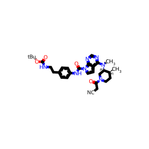 C[C@@H]1CCN(C(=O)CC#N)C[C@@H]1N(C)c1ncnc2c1ccn2C(=O)Nc1ccc(CCNC(=O)OC(C)(C)C)cc1